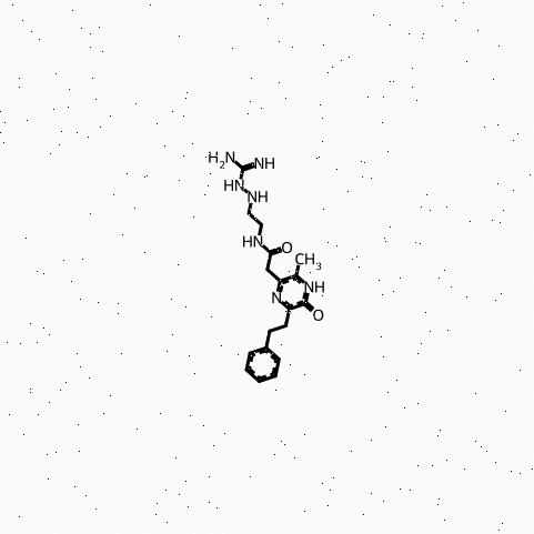 Cc1[nH]c(=O)c(CCc2ccccc2)nc1CC(=O)NCCNNC(=N)N